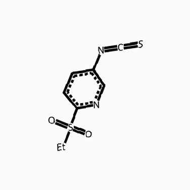 CCS(=O)(=O)c1ccc(N=C=S)cn1